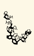 COc1nc(-c2cccc(-c3cccc(-c4cnc(CN5C6COCC5C6)c(OC)n4)c3Cl)c2Cl)cnc1CNC[C@@H]1CCC(=O)N1